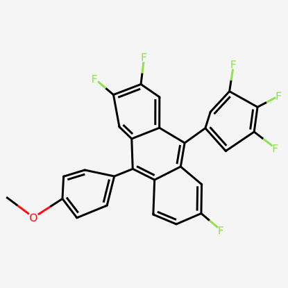 COc1ccc(-c2c3ccc(F)cc3c(-c3cc(F)c(F)c(F)c3)c3cc(F)c(F)cc23)cc1